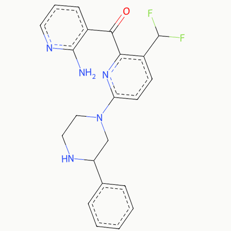 Nc1ncccc1C(=O)c1nc(N2CCNC(c3ccccc3)C2)ccc1C(F)F